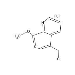 COc1ccc(CCl)c2cccnc12.Cl